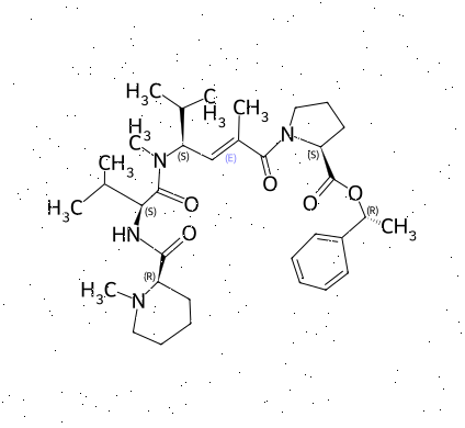 C/C(=C\[C@H](C(C)C)N(C)C(=O)[C@@H](NC(=O)[C@H]1CCCCN1C)C(C)C)C(=O)N1CCC[C@H]1C(=O)O[C@H](C)c1ccccc1